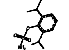 CC(C)c1cccc(C(C)C)c1OS(N)(=O)=O